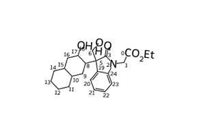 CCOC(=O)CN1C(=O)C(CO)(C2CC3CCCCC3CC2O)c2ccccc21